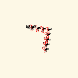 CC(=O)[O-].CC(=O)[O-].CC(=O)[O-].CC(=O)[O-].CC(=O)[O-].CC(=O)[O-].CC(=O)[O-].CC(=O)[O-].[Mg+2].[U+6]